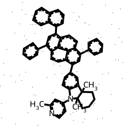 Cc1cc(N2c3ccc(-c4cc(-c5ccccc5)c5ccc6c(-c7cccc8ccccc78)cc(-c7ccccc7)c7ccc4c5c76)cc3C3(C)CCCCC23C)ccn1